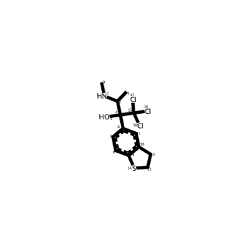 CNC(C)C(O)(c1ccc2c(c1)CCS2)C(Cl)(Cl)Cl